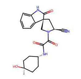 C[C@]1(O)CC[C@H](NC(=O)C(=O)N2C[C@]3(C[C@H]2C#N)C(=O)Nc2ccccc23)CC1